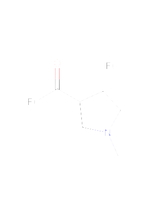 CCC(=O)C1CN(C)C[C@H]1CC